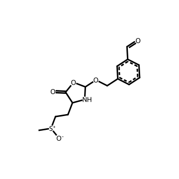 C[S+]([O-])CCC1NC(OCc2cccc(C=O)c2)OC1=O